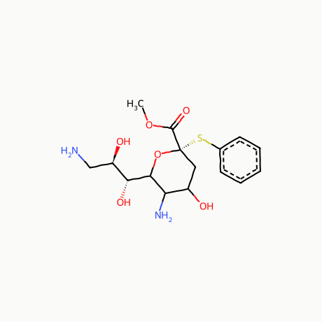 COC(=O)[C@@]1(Sc2ccccc2)CC(O)C(N)C([C@H](O)[C@H](O)CN)O1